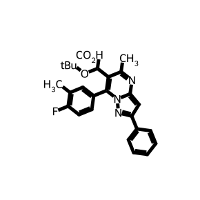 Cc1cc(-c2c(C(OC(C)(C)C)C(=O)O)c(C)nc3cc(-c4ccccc4)nn23)ccc1F